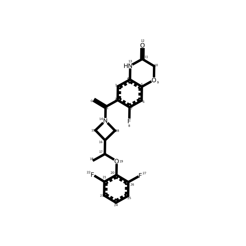 C=C(c1cc2c(cc1F)OCC(=O)N2)N1CC(C(C)Oc2c(F)cccc2F)C1